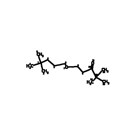 CC(C)(C)CCCOCCC(=O)C(C)(C)C